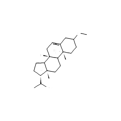 COC1CC[C@@]2(C)C(=CC[C@H]3[C@@H]4CC[C@H](C(C)O)[C@@]4(C)CC[C@@H]32)C1